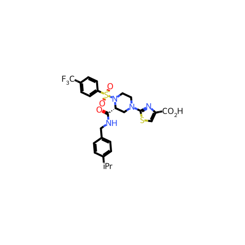 CC(C)c1ccc(CNC(=O)[C@H]2CN(c3nc(C(=O)O)cs3)CCN2S(=O)(=O)c2ccc(C(F)(F)F)cc2)cc1